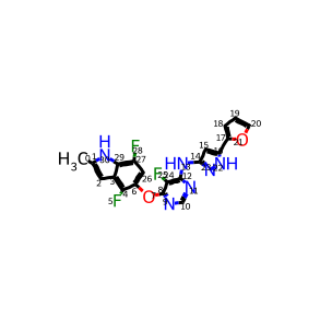 Cc1cc2c(F)c(Oc3ncnc(Nc4cc(-c5ccco5)[nH]n4)c3F)cc(F)c2[nH]1